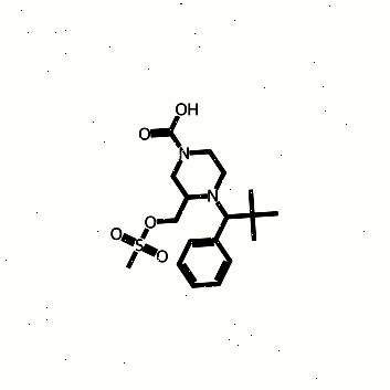 CC(C)(C)C(c1ccccc1)N1CCN(C(=O)O)CC1COS(C)(=O)=O